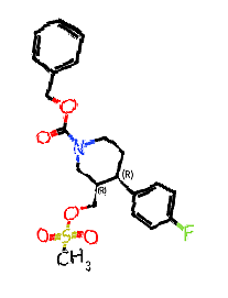 CS(=O)(=O)OC[C@H]1CN(C(=O)OCc2ccccc2)CC[C@H]1c1ccc(F)cc1